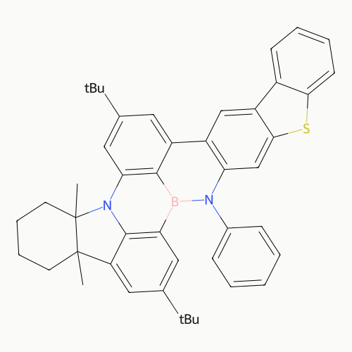 CC(C)(C)c1cc2c3c(c1)N1c4c(cc(C(C)(C)C)cc4C4(C)CCCCC14C)B3N(c1ccccc1)c1cc3sc4ccccc4c3cc1-2